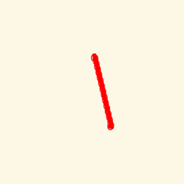 C=CC(=O)OCCOCCOCCOCCOCCOCCOCCOCCOCCOCCOCCOCCOCCOCCOCCOCCOCCOCCOCCOCCOCCOCCOCCOCCOC(=O)C=C